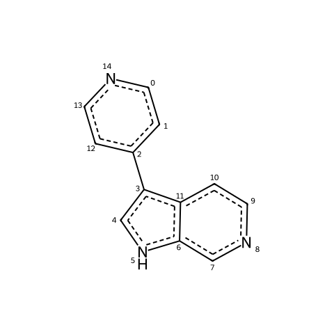 c1cc(-c2c[nH]c3cnccc23)ccn1